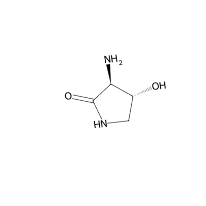 N[C@@H]1C(=O)NC[C@H]1O